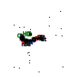 CCCCc1nc(-c2ccc(OCC(O)CN(CC)CC)cc2)cn1-c1ccc(Oc2ccc(Cl)cc2)cc1.Cl.Cl